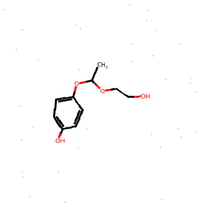 CC(OCCO)Oc1ccc(O)cc1